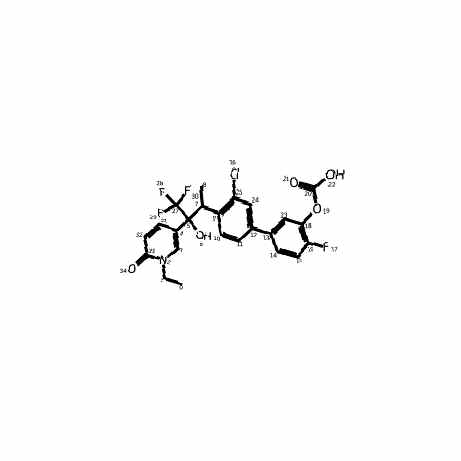 CCn1cc(C(O)(C(C)c2ccc(-c3ccc(F)c(OC(=O)O)c3)cc2Cl)C(F)(F)F)ccc1=O